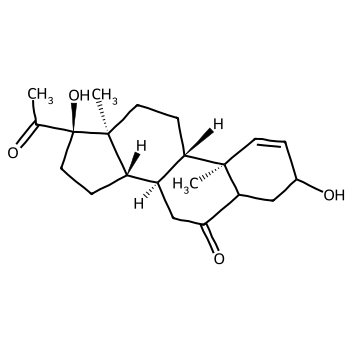 CC(=O)[C@@]1(O)CC[C@H]2[C@@H]3CC(=O)C4CC(O)C=C[C@]4(C)[C@H]3CC[C@@]21C